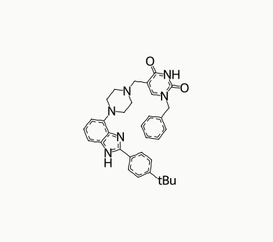 CC(C)(C)c1ccc(-c2nc3c(N4CCN(Cc5cn(Cc6ccccc6)c(=O)[nH]c5=O)CC4)cccc3[nH]2)cc1